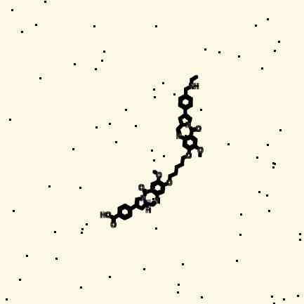 CCNCc1ccc(C2=CN3C(=O)c4cc(OC)c(OCCCCCOc5cc6c(cc5OC)C(=O)N5C=C(c7ccc(C(=O)O)cc7)C[C@H]5C=N6)cc4N=CC3C2)cc1